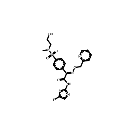 CN(CCO)S(=O)(=O)c1ccc(/C(=N\OCc2ccccn2)C(=O)Nc2ncc(F)s2)cc1